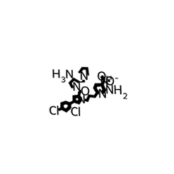 N.Nc1nc(CCCn2cc(-c3ccc(Cl)cc3Cl)cc2C(=O)N2CCC[C@H]2CN2CCCC2)ccc1[N+](=O)[O-]